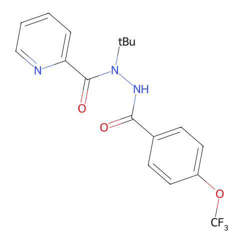 CC(C)(C)N(NC(=O)c1ccc(OC(F)(F)F)cc1)C(=O)c1ccccn1